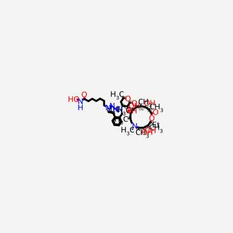 CC[C@H]1OC(=O)[C@H](C)[C@@H](O)[C@H](C)[C@@H](O[C@@H]2O[C@H](C)C[C@H](N(C)Cc3ccccc3-c3cn(CCCCCCC(=O)NO)nn3)[C@@H]2O)[C@](C)(O)C[C@@H](C)CN(C)[C@H](C)[C@@H](O)[C@]1(C)O